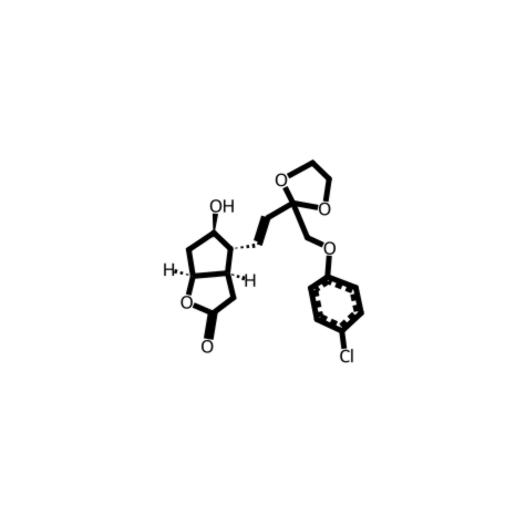 O=C1C[C@@H]2[C@@H](/C=C/C3(COc4ccc(Cl)cc4)OCCO3)[C@H](O)C[C@@H]2O1